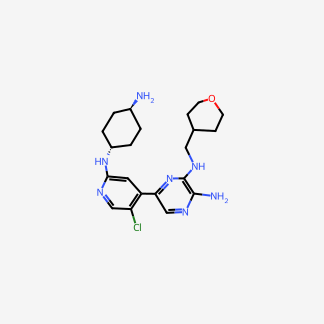 Nc1ncc(-c2cc(N[C@H]3CC[C@H](N)CC3)ncc2Cl)nc1NCC1CCOCC1